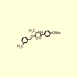 COc1ccc(C(=O)N[C@@H](C)C(=O)OCc2cccc(C)c2)cc1